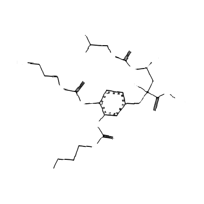 CCCCOC(=O)Oc1ccc(CC(N)(C[C@H](C)OC(=O)OCC(C)C)C(=O)OC)cc1OC(=O)OCCCC